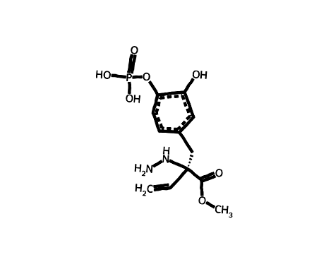 C=C[C@@](Cc1ccc(OP(=O)(O)O)c(O)c1)(NN)C(=O)OC